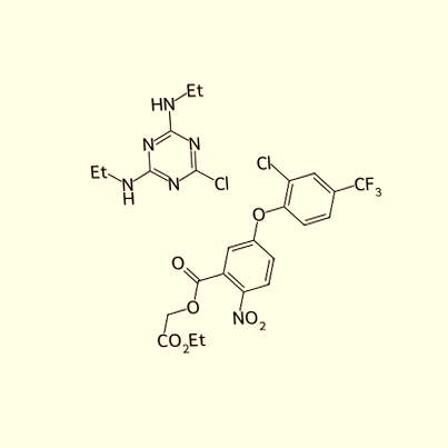 CCNc1nc(Cl)nc(NCC)n1.CCOC(=O)COC(=O)c1cc(Oc2ccc(C(F)(F)F)cc2Cl)ccc1[N+](=O)[O-]